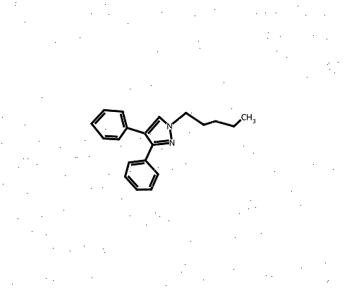 CCCCCn1cc(-c2ccccc2)c(-c2ccccc2)n1